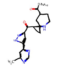 COC(=O)C1CCNC2(C1)CC2C(=O)c1cc(-c2cc(C)ncn2)[nH]n1